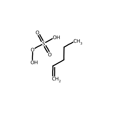 C=CCCC.O=S(=O)(O)OO